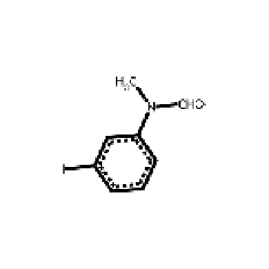 CN([C]=O)c1cccc(I)c1